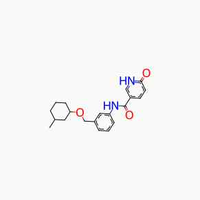 CC1CCCC(OCc2cccc(NC(=O)c3ccc(=O)[nH]c3)c2)C1